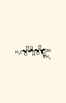 CCC(=O)NCC(=O)NCC(=O)NC(CO)COC